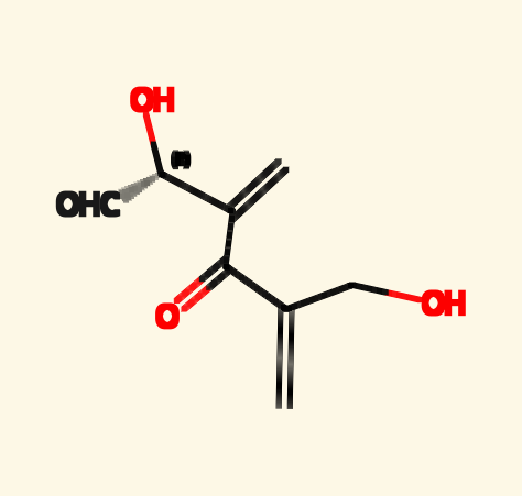 C=C(CO)C(=O)C(=C)[C@@H](O)C=O